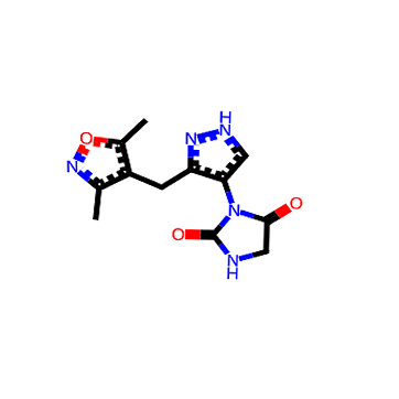 Cc1noc(C)c1Cc1n[nH]cc1N1C(=O)CNC1=O